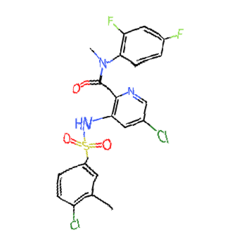 Cc1cc(S(=O)(=O)Nc2cc(Cl)cnc2C(=O)N(C)c2ccc(F)cc2F)ccc1Cl